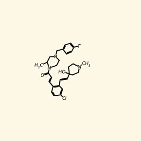 CC1CN(Cc2ccc(F)cc2)CCN1C(=O)C=Cc1ccc(Cl)cc1C=CC1(O)CCN(C)CC1